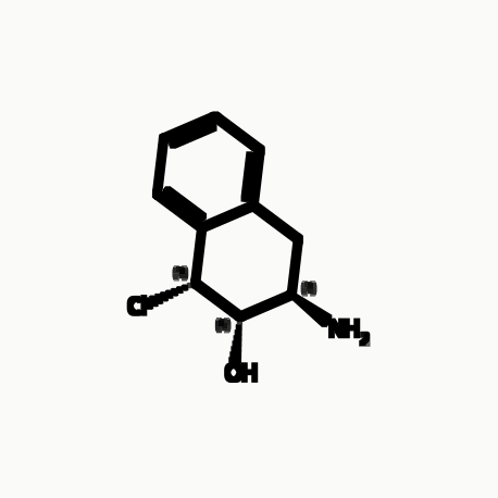 N[C@@H]1Cc2ccccc2[C@@H](Cl)[C@H]1O